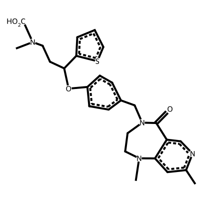 Cc1cc2c(cn1)C(=O)N(Cc1ccc(OC(CCN(C)C(=O)O)c3cccs3)cc1)CCN2C